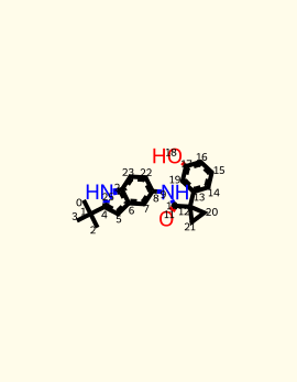 CC(C)(C)c1cc2cc(NC(=O)C3(c4cccc(O)c4)CC3)ccc2[nH]1